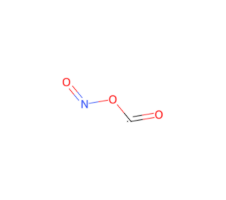 O=[C]ON=O